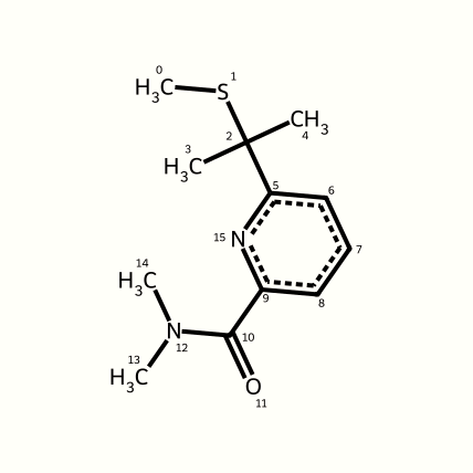 CSC(C)(C)c1cccc(C(=O)N(C)C)n1